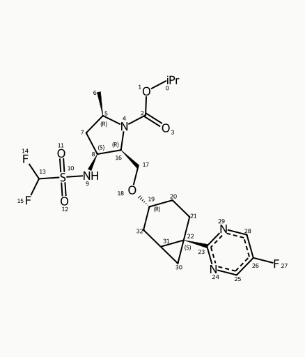 CC(C)OC(=O)N1[C@H](C)C[C@H](NS(=O)(=O)C(F)F)[C@@H]1CO[C@@H]1CC[C@]2(c3ncc(F)cn3)CC2C1